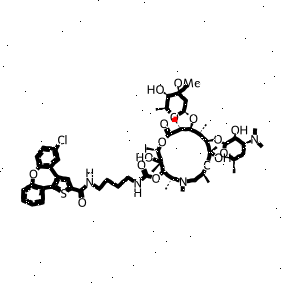 CO[C@]1(C)C[C@H](O[C@H]2[C@H](C)[C@@H](O[C@@H]3O[C@H](C)C[C@H](N(C)C)[C@H]3O)[C@](C)(O)C[C@@H](C)CN(C)[C@H](C)C(OC(=O)NCCCCNC(=O)c3cc4c(s3)-c3ccccc3Oc3ccc(Cl)cc3-4)[C@](C)(O)[C@@H](I)OC(=O)[C@@H]2C)O[C@@H](C)[C@@H]1O